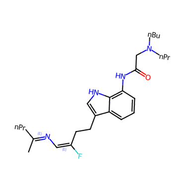 CCCCN(CCC)CC(=O)Nc1cccc2c(CC/C(F)=C\N=C(/C)CCC)c[nH]c12